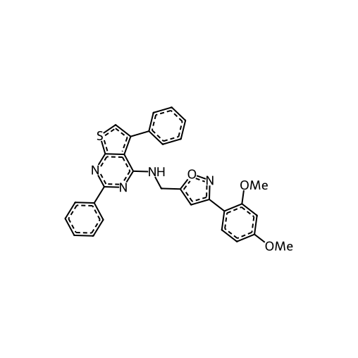 COc1ccc(-c2cc(CNc3nc(-c4ccccc4)nc4scc(-c5ccccc5)c34)on2)c(OC)c1